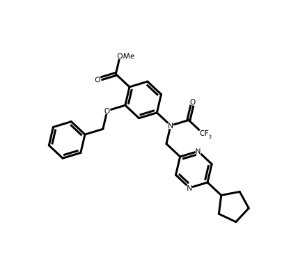 COC(=O)c1ccc(N(Cc2cnc(C3CCCC3)cn2)C(=O)C(F)(F)F)cc1OCc1ccccc1